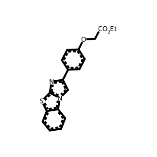 CCOC(=O)COc1ccc(-c2cn3c(n2)sc2ccccc23)cc1